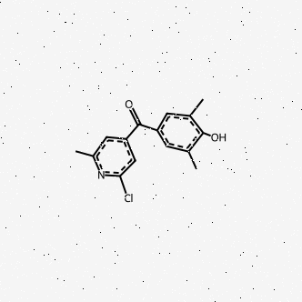 Cc1cc(C(=O)c2cc(C)c(O)c(C)c2)cc(Cl)n1